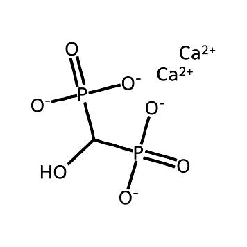 O=P([O-])([O-])C(O)P(=O)([O-])[O-].[Ca+2].[Ca+2]